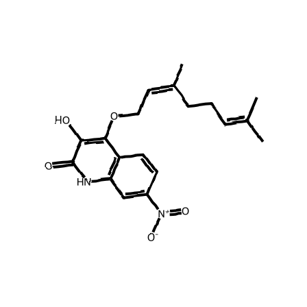 CC(C)=CCCC(C)=CCOc1c(O)c(=O)[nH]c2cc([N+](=O)[O-])ccc12